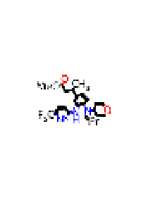 COC(=O)CC(C)c1ccc(N(CC(C)C)C2CCOCC2)c(Nc2ccc(C(F)(F)F)nn2)c1